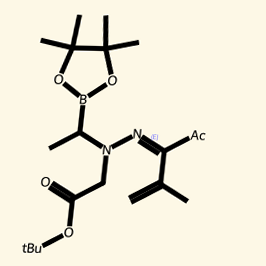 C=C(C)/C(=N\N(CC(=O)OC(C)(C)C)C(C)B1OC(C)(C)C(C)(C)O1)C(C)=O